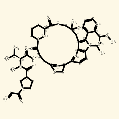 C=CC(=O)N1CC[C@H](C(=O)N(C)[C@H](C(=O)N[C@H]2CC3=NC(CS3)c3ccc4c(n3)c(c(-c3cccnc3[C@H](C)OC)n4CC)CC(C)(C)COC(=O)[C@@H]3CCCN(N3)C2=O)C(C)C)C1